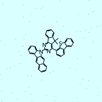 CC1(C)c2ccccc2-c2nc(-n3c4ccccc4c4cc5ccccc5cc43)nc(-c3cccc4c3sc3ccccc34)c21